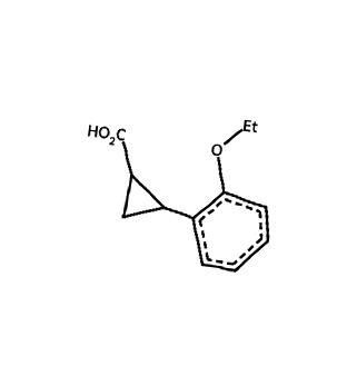 CCOc1ccccc1C1CC1C(=O)O